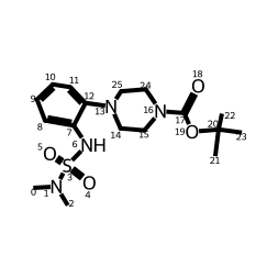 CN(C)S(=O)(=O)Nc1ccccc1N1CCN(C(=O)OC(C)(C)C)CC1